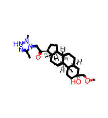 COC[C@@]1(O)CC[C@@]2(C)[C@@H](CC[C@@H]3[C@@H]2CC[C@]2(C)[C@@H](C(=O)CN4C(C)=NNN4C)CC[C@@H]32)C1